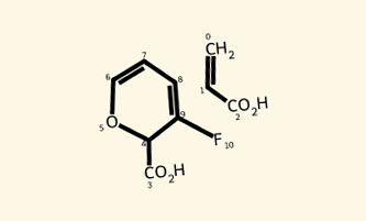 C=CC(=O)O.O=C(O)C1OC=CC=C1F